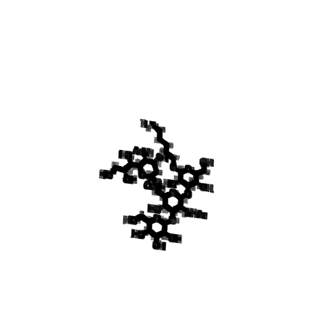 CC(=O)N[C@H]1C(O[C@@H]2OC(CO)[C@H](O)C(O)[C@@H]2O)[C@H](O)C(CO[C@]2(C(=O)O)C[C@@H](O)[C@@H](NC(C)=O)C([C@H](O)[C@H](O)CO)O2)O[C@H]1OC1[C@@H](O)C(CO)O[C@@H](OCCCCCN)[C@H]1O